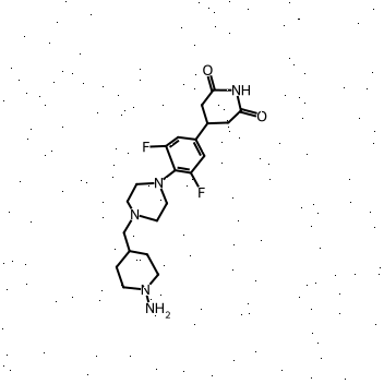 NN1CCC(CN2CCN(c3c(F)cc(C4CC(=O)NC(=O)C4)cc3F)CC2)CC1